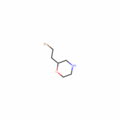 BrCCC1CNCCO1